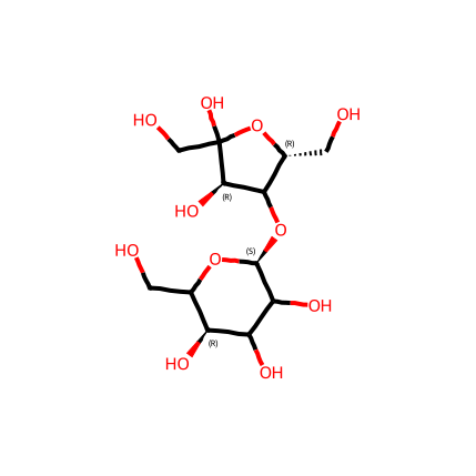 OCC1O[C@@H](OC2[C@@H](O)C(O)(CO)O[C@@H]2CO)C(O)C(O)[C@H]1O